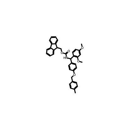 COc1ccc(C(NC(=O)OCC2c3ccccc3-c3ccccc32)c2ccc(OCc3ccc(C)cc3)cc2)c(OC)c1